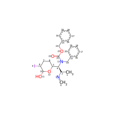 C=NC(C)[C@@H](C1CCC(I)C(O)O1)N(Cc1ccccc1)C(=O)OCc1ccccc1